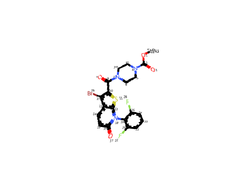 CC(C)(C)OC(=O)N1CCN(C(=O)c2sc3c(ccc(=O)n3-c3c(F)cccc3F)c2Br)CC1